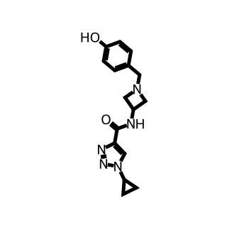 O=C(NC1CN(Cc2ccc(O)cc2)C1)c1cn(C2CC2)nn1